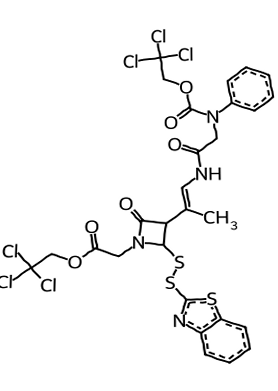 CC(=CNC(=O)CN(C(=O)OCC(Cl)(Cl)Cl)c1ccccc1)C1C(=O)N(CC(=O)OCC(Cl)(Cl)Cl)C1SSc1nc2ccccc2s1